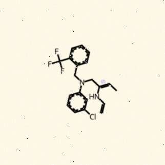 C=CN/C(=C\C)CN(Cc1ccccc1C(F)(F)F)c1cccc(Cl)c1